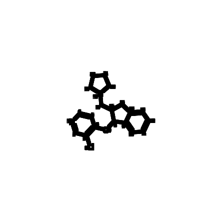 Clc1cnccc1OC1c2ccccc2CC1CN1CCCC1